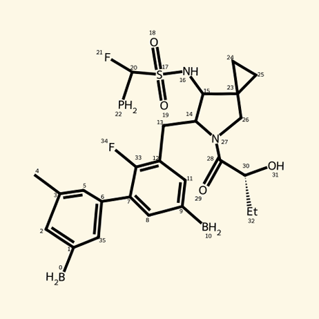 Bc1cc(C)cc(-c2cc(B)cc(CC3C(NS(=O)(=O)C(F)P)C4(CC4)CN3C(=O)[C@H](O)CC)c2F)c1